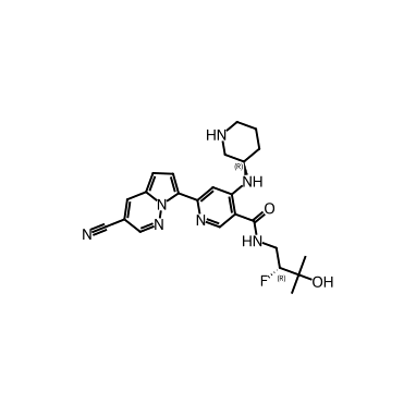 CC(C)(O)[C@H](F)CNC(=O)c1cnc(-c2ccc3cc(C#N)cnn23)cc1N[C@@H]1CCCNC1